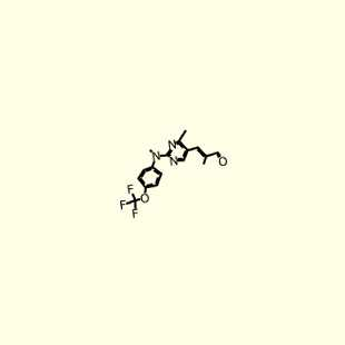 C/C(C=O)=C\c1cnc(N(C)c2ccc(OC(F)(F)F)cc2)nc1C